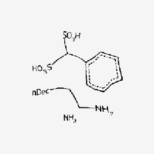 CCCCCCCCCCCCN.N.O=S(=O)(O)C(c1ccccc1)S(=O)(=O)O